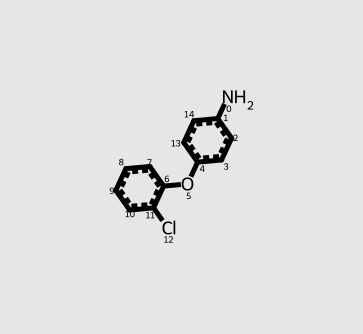 Nc1ccc(Oc2ccccc2Cl)cc1